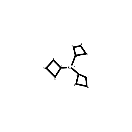 C1C[CH]([Sb]([CH]2CCC2)[CH]2CCC2)C1